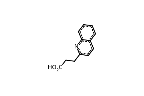 O=C(O)CCc1ccc2ccccc2n1